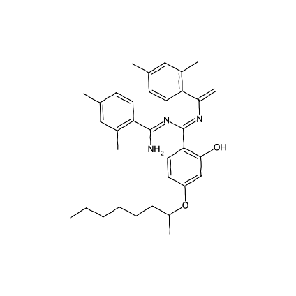 C=C(/N=C(\N=C(/N)c1ccc(C)cc1C)c1ccc(OC(C)CCCCCC)cc1O)c1ccc(C)cc1C